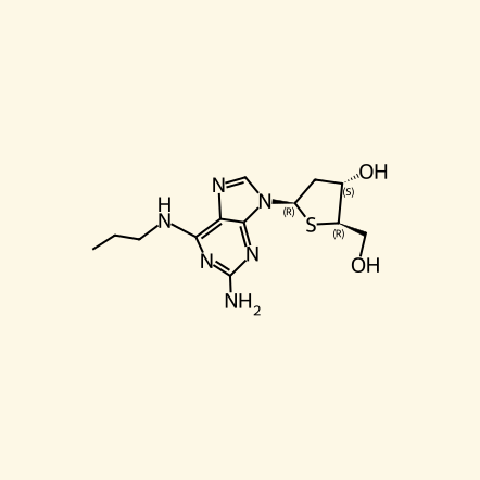 CCCNc1nc(N)nc2c1ncn2[C@H]1C[C@H](O)[C@@H](CO)S1